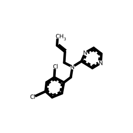 CC=CCN(Cc1ccc(Cl)cc1Cl)c1cnccn1